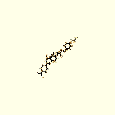 Cc1cc(N2CCC(N(C)C)CC2)nc2ccc(NC(=O)COc3ccc(OC=S)cc3)cc12